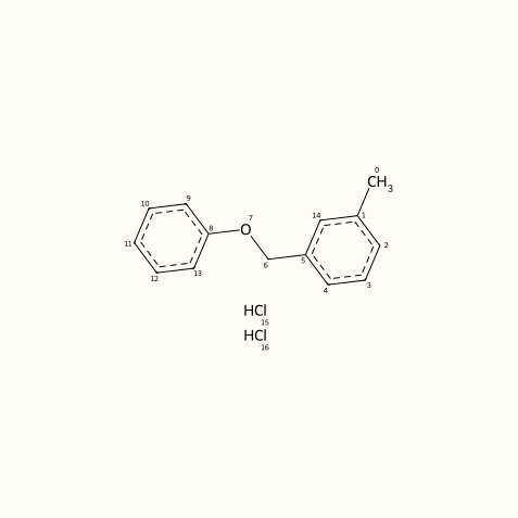 Cc1cccc(COc2ccccc2)c1.Cl.Cl